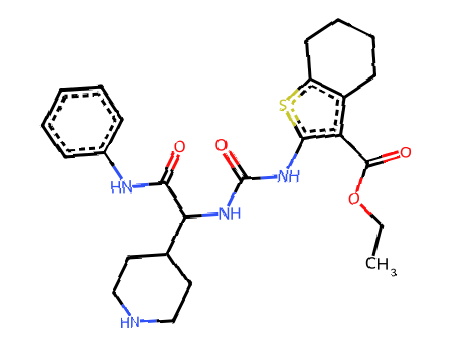 CCOC(=O)c1c(NC(=O)NC(C(=O)Nc2ccccc2)C2CCNCC2)sc2c1CCCC2